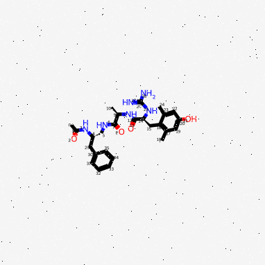 CC(=O)N[C@H](CNC(=O)[C@@H](C)NC(=O)[C@H](Cc1c(C)cc(O)cc1C)NC(=N)N)Cc1ccccc1